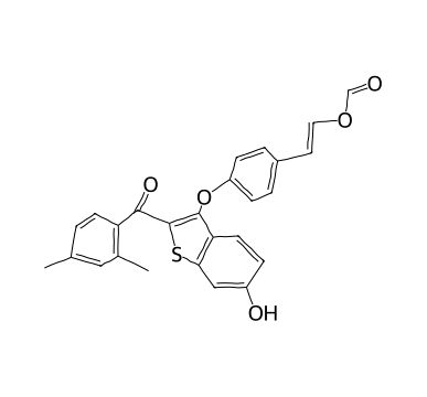 Cc1ccc(C(=O)c2sc3cc(O)ccc3c2Oc2ccc(/C=C/OC=O)cc2)c(C)c1